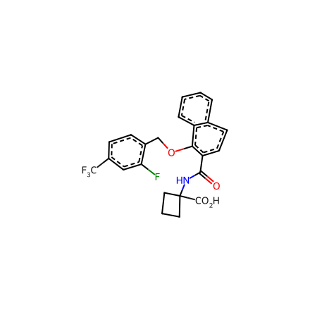 O=C(NC1(C(=O)O)CCC1)c1ccc2ccccc2c1OCc1ccc(C(F)(F)F)cc1F